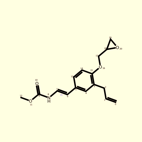 C=CCc1cc(/C=C/NC(=O)OC)ccc1OCC1CO1